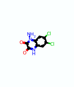 Nn1c(=O)c(=O)[nH]c2cc(Cl)c(Cl)cc21